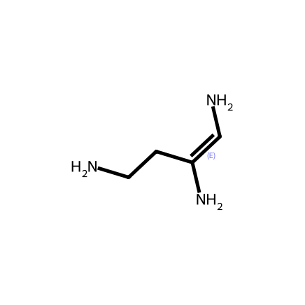 N/C=C(/N)CCN